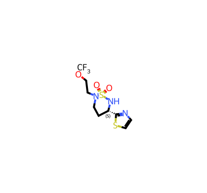 O=S1(=O)N[C@H](c2nccs2)CCN1CCOC(F)(F)F